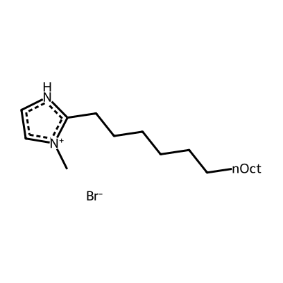 CCCCCCCCCCCCCCc1[nH]cc[n+]1C.[Br-]